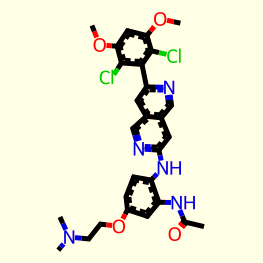 COc1cc(OC)c(Cl)c(-c2cc3cnc(Nc4ccc(OCCN(C)C)cc4NC(C)=O)cc3cn2)c1Cl